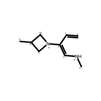 C=C/C(=C\NC)N1CC(C)C1